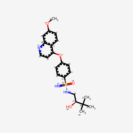 COc1ccc2c(Oc3ccc([S@](=N)(=O)NC[C@H](O)C(C)(C)C)cc3)ccnc2c1